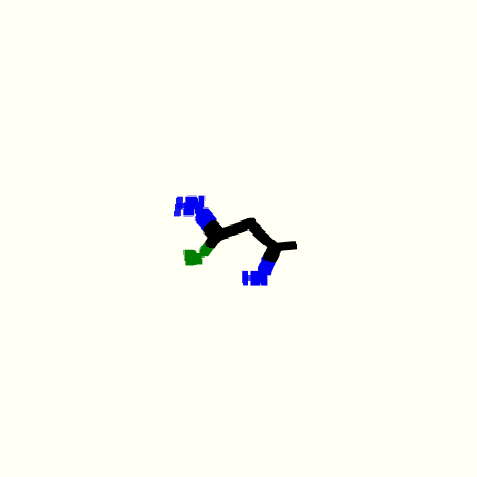 CC(=N)CC(=N)Br